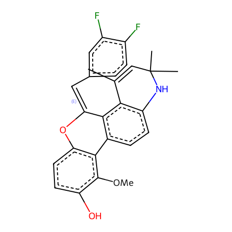 COc1c(O)ccc2c1-c1ccc3c(c1/C(=C\c1ccc(F)c(F)c1)O2)C(C)=CC(C)(C)N3